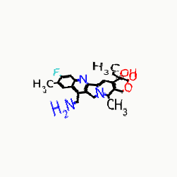 CC[C@@]1(O)C(=O)OCC2=C1C=C1c3nc4cc(F)c(C)cc4c(CN)c3CN1C2C